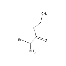 CCOC(=O)C(N)Br